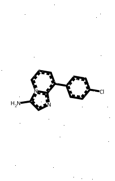 Nc1cnc2c(-c3ccc(Cl)cc3)cccn12